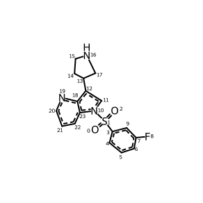 O=S(=O)(c1cccc(F)c1)n1cc(C2CCNC2)c2ncccc21